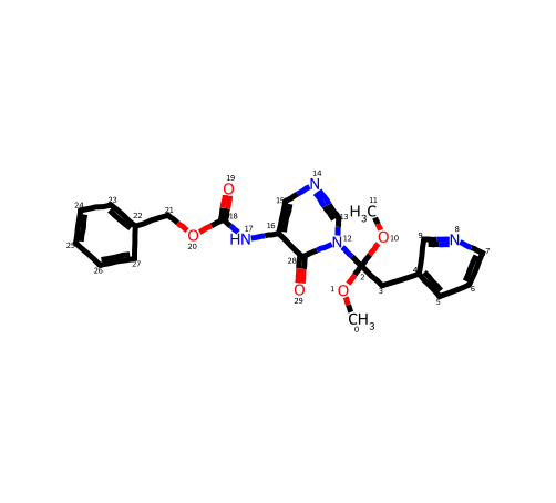 COC(Cc1cccnc1)(OC)n1cncc(NC(=O)OCc2ccccc2)c1=O